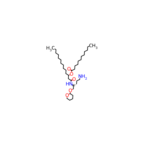 CCCCCCCCCCCC(=O)OC(CCCCCCCCCCC)CC(=O)N[C@H](CCCN)COC1CCCCO1